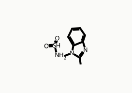 Cc1nc2ccccc2n1C.N[SH](=O)=O